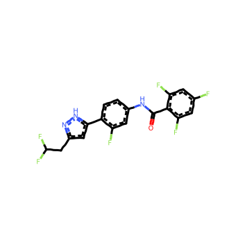 O=C(Nc1ccc(-c2cc(CC(F)F)n[nH]2)c(F)c1)c1c(F)cc(F)cc1F